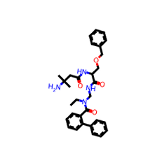 CCN(CNC(=O)C(COCc1ccccc1)NC(=O)CC(C)(C)N)C(=O)c1ccccc1-c1ccccc1